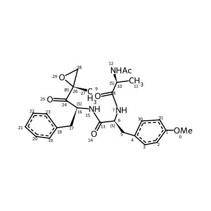 COc1ccc(C[C@H](NC(=O)[C@H](C)NC(C)=O)C(=O)N[C@@H](Cc2ccccc2)C(=O)[C@@]2(C)CO2)cc1